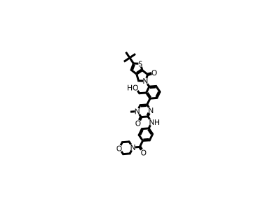 Cn1cc(-c2cccc(N3Cc4cc(C(C)(C)C)sc4C3=O)c2CO)nc(Nc2ccc(C(=O)N3CCOCC3)cc2)c1=O